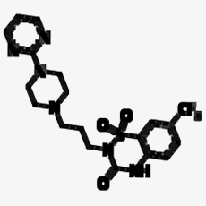 O=C1Nc2ccc(C(F)(F)F)cc2S(=O)(=O)N1CCCN1CCN(c2ncccn2)CC1